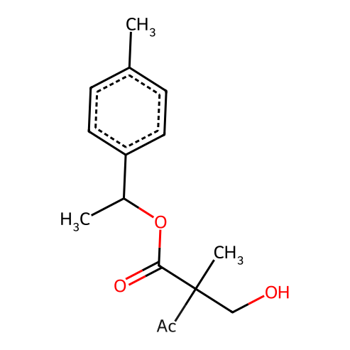 CC(=O)C(C)(CO)C(=O)OC(C)c1ccc(C)cc1